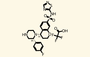 O=C(O)C(F)(F)F.O=S(=O)(Nc1ncns1)c1ccc2c(c1)OCC[C@@H]2N1CCNC[C@H]1c1ccc(F)cc1